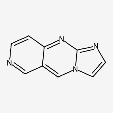 c1cc2nc3nccn3cc2cn1